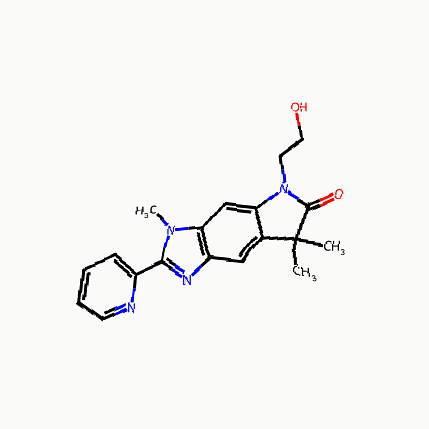 Cn1c(-c2ccccn2)nc2cc3c(cc21)N(CCO)C(=O)C3(C)C